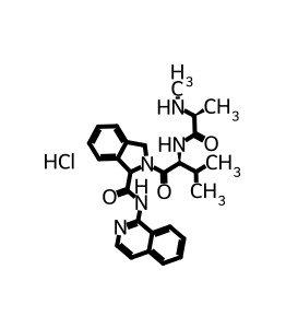 CN[C@@H](C)C(=O)N[C@H](C(=O)N1Cc2ccccc2C1C(=O)Nc1nccc2ccccc12)C(C)C.Cl